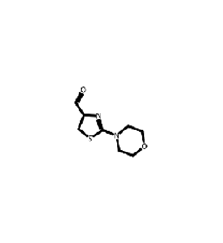 O=CC1CSC(N2CCOCC2)=N1